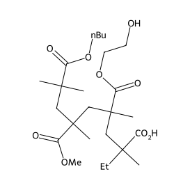 CCCCOC(=O)C(C)(C)CC(C)(CC(C)(CC(C)(CC)C(=O)O)C(=O)OCCO)C(=O)OC